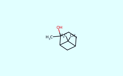 CC1(O)CCC2CC1C2(C)C